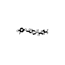 O=C(NN1CCN(C[C@H](O)COc2ccc(Cl)c(F)c2)CC1)c1cnc(C(F)F)cn1